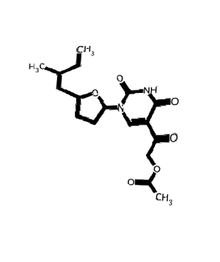 CCC(C)CC1CCC(n2cc(C(=O)COC(C)=O)c(=O)[nH]c2=O)O1